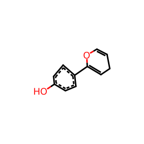 Oc1ccc(C2=CCC=CO2)cc1